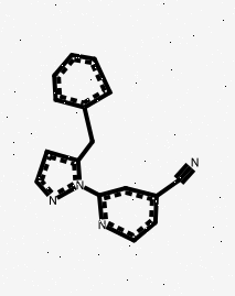 N#Cc1ccnc(-n2nccc2Cc2ccccc2)c1